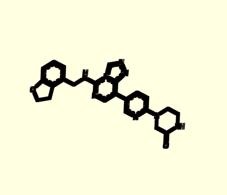 O=C1CN(c2ccc(-c3cnc(NCc4cccc5c4CCO5)n4cnnc34)cn2)CCN1